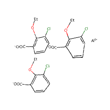 CCOc1c(Cl)cccc1C(=O)[O-].CCOc1c(Cl)cccc1C(=O)[O-].CCOc1c(Cl)cccc1C(=O)[O-].[Al+3]